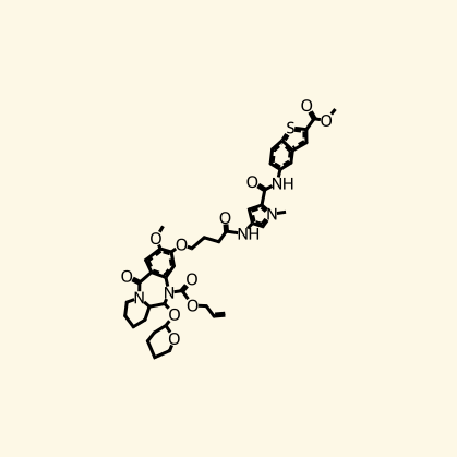 C=CCOC(=O)N1c2cc(OCCCC(=O)Nc3cc(C(=O)Nc4ccc5sc(C(=O)OC)cc5c4)n(C)c3)c(OC)cc2C(=O)N2CCCCC2C1OC1CCCCO1